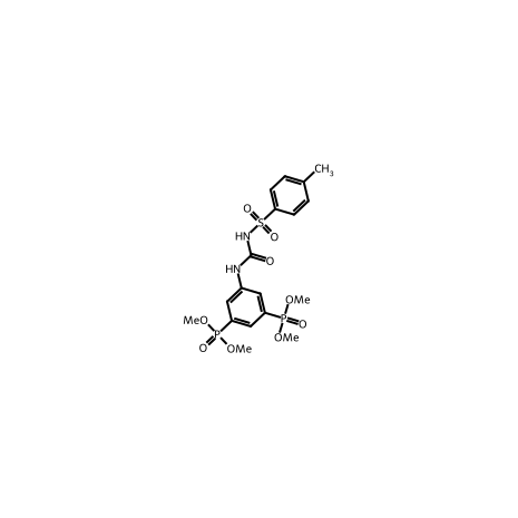 COP(=O)(OC)c1cc(NC(=O)NS(=O)(=O)c2ccc(C)cc2)cc(P(=O)(OC)OC)c1